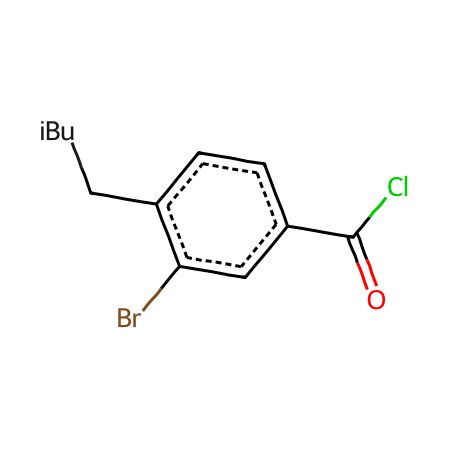 CCC(C)Cc1ccc(C(=O)Cl)cc1Br